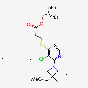 CCCCC(CC)COC(=O)CCSc1ccnc(N2CC(C)(COC)C2)c1Cl